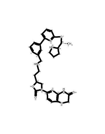 C[C@@H](Oc1cccc(-c2cccc(CNCCC3CN(c4ccc5c(n4)NC(=O)CO5)C(=O)O3)c2)n1)C1CCCN1